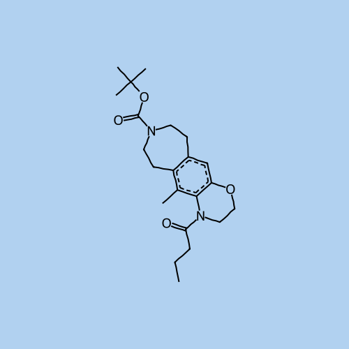 CCCC(=O)N1CCOc2cc3c(c(C)c21)CCN(C(=O)OC(C)(C)C)CC3